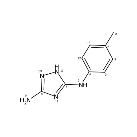 Cc1ccc(Nc2nc(N)n[nH]2)cc1